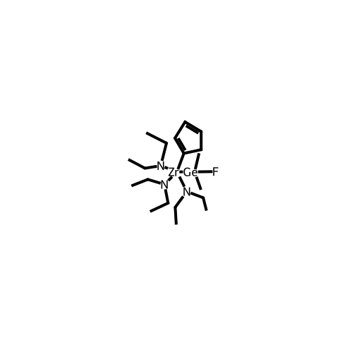 CC[N](CC)[Zr]([C]1=CC=CC1)([N](CC)CC)([N](CC)CC)[Ge]([CH3])([CH3])[F]